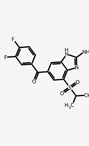 CC(C)S(=O)(=O)c1cc(C(=O)c2ccc(F)c(F)c2)cc2[nH]c(N)nc12